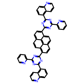 c1ccc(-c2nc(-c3cccc4ncccc34)nc(-c3ccc4ccc5c(-c6nc(-c7ccccn7)nc(-c7cccc8ncccc78)n6)ccc6ccc3c4c65)n2)nc1